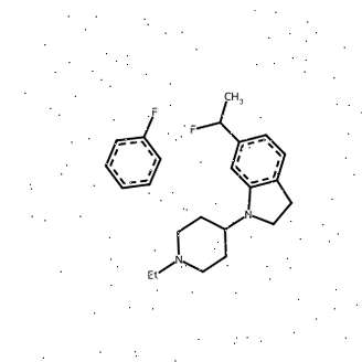 CCN1CCC(N2CCc3ccc(C(C)F)cc32)CC1.Fc1ccccc1